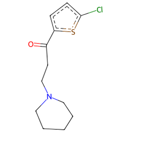 O=C(CCN1CCCCC1)c1ccc(Cl)s1